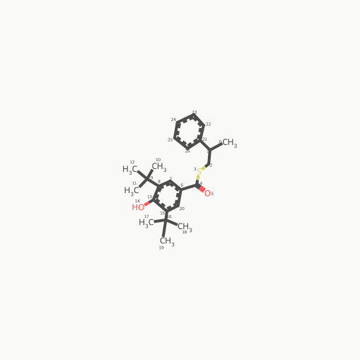 CC(CSC(=O)c1cc(C(C)(C)C)c(O)c(C(C)(C)C)c1)c1ccccc1